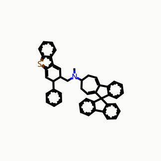 CN(CC1C=c2c(sc3ccccc23)=CC1c1ccccc1)C1CC=C2C(=CC1)C1(c3ccccc32)c2ccccc2-c2ccccc21